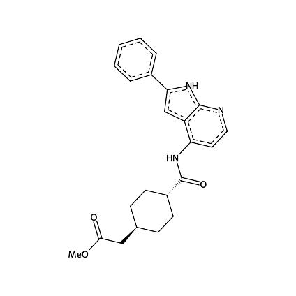 COC(=O)C[C@H]1CC[C@H](C(=O)Nc2ccnc3[nH]c(-c4ccccc4)cc23)CC1